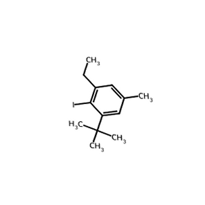 CCc1cc(C)cc(C(C)(C)C)c1I